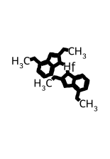 CCC1=Cc2c(CC)cccc2[CH]1[Hf][CH]1C(CC)=Cc2c(CC)cccc21